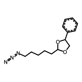 [N-]=[N+]=NCCCCCC1OCC(c2ccccc2)O1